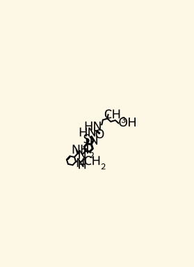 C=C/N=C1/CCC=CC1C(N)Nc1ccc2nc(NC(=O)NCCC(C)CCCO)sc2c1